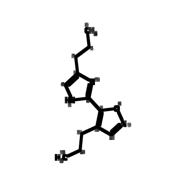 CCCc1c[nH]c(-c2on[c]c2CCC)n1